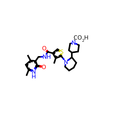 Cc1cc(C)c(CNC(=O)c2csc(N3CCCCC3C3CCN(C(=O)O)CC3)c2C)c(=O)[nH]1